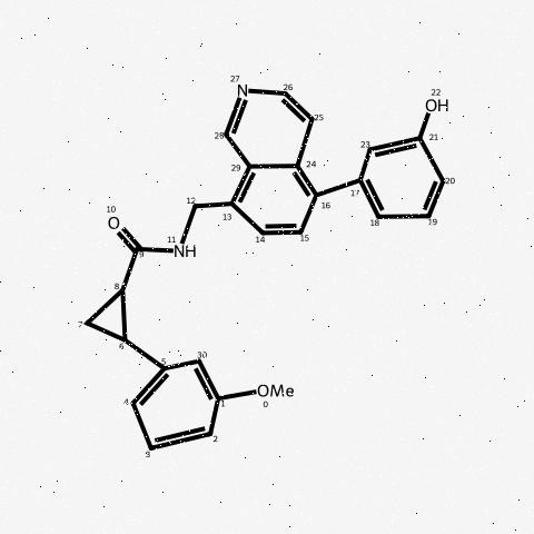 COc1cccc(C2CC2C(=O)NCc2ccc(-c3cccc(O)c3)c3ccncc23)c1